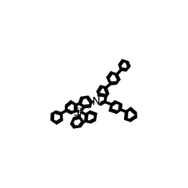 c1ccc(-c2ccc(-c3ccc4c(c3)c(-c3ccc(-c5ccccc5)cc3)cn4-c3ccc4c(c3)[Si](c3ccccc3)(c3ccccc3)c3cc(-c5ccccc5)ccc3-4)cc2)cc1